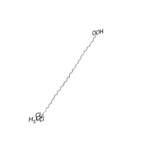 C[Si](Cl)(Cl)CCCCCCCCCCCCCCCCCCCCCCCCCCCCCCCCCCCCCC(=O)O